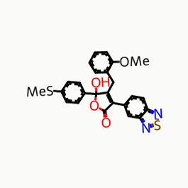 COc1ccccc1CC1=C(c2ccc3nsnc3c2)C(=O)OC1(O)c1ccc(SC)cc1